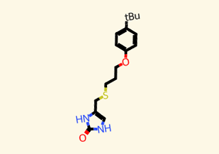 CC(C)(C)c1ccc(OCCCSCc2c[nH]c(=O)[nH]2)cc1